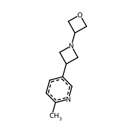 Cc1ccc(C2CN(C3COC3)C2)cn1